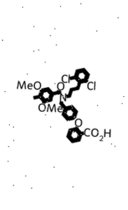 COc1cc(C(=O)N(CCCc2c(Cl)cccc2Cl)Cc2ccc(Oc3ccccc3C(=O)O)cc2)cc(OC)c1C